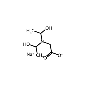 CC(O)N(CC(=O)[O-])C(C)O.[Na+]